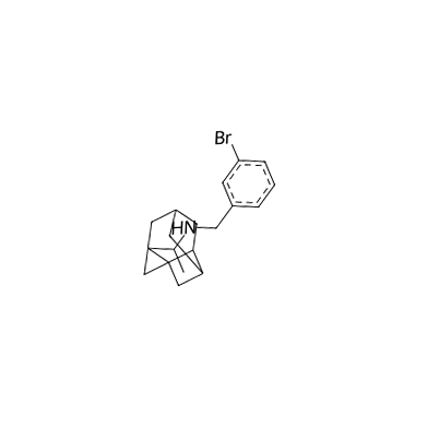 CC(NCc1cccc(Br)c1)C12CC3CC4CC1(C2)C4C3